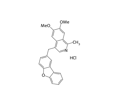 COc1cc2c(Cc3ccc4oc5ccccc5c4c3)cnc(C)c2cc1OC.Cl